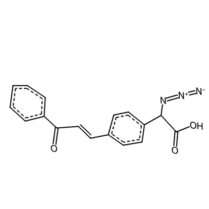 [N-]=[N+]=NC(C(=O)O)c1ccc(C=CC(=O)c2ccccc2)cc1